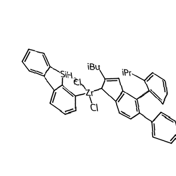 CCC(C)C1=Cc2c(ccc(-c3ccccc3)c2-c2ccccc2C(C)C)[CH]1[Zr]([Cl])([Cl])[c]1cccc2c1[SiH2]c1ccccc1-2